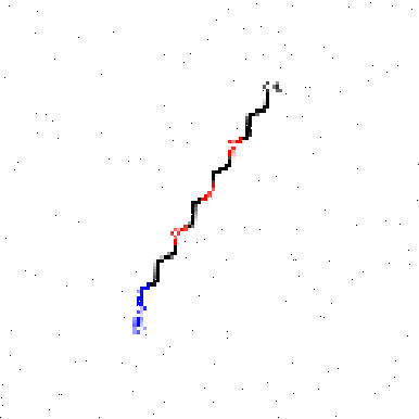 CCCCOCCOCCOCCCN=[N+]=[N-]